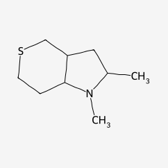 CC1CC2CSCCC2N1C